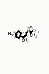 C=C(C)N(C/C=C(/C)C1CC=C(C)CC1)CCC